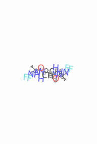 Cc1c(NC(=O)c2cc(C3CC3)c(CNCC(F)F)cn2)cccc1-c1cccc(NC(=O)c2cc(C3CC3)c(CNCC(F)F)cn2)c1C